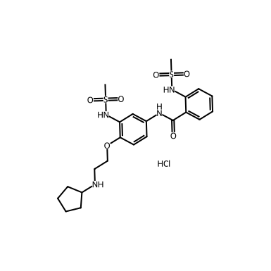 CS(=O)(=O)Nc1cc(NC(=O)c2ccccc2NS(C)(=O)=O)ccc1OCCNC1CCCC1.Cl